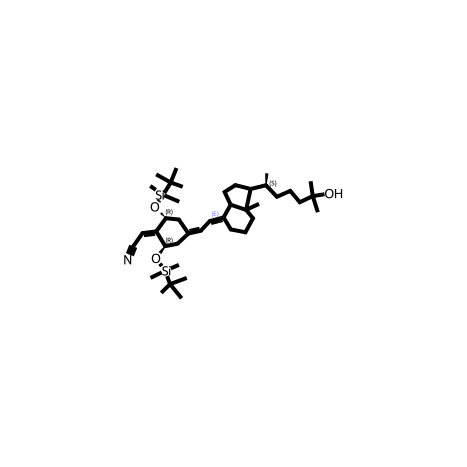 C[C@@H](CCCC(C)(C)O)C1CCC2/C(=C/C=C3C[C@@H](O[Si](C)(C)C(C)(C)C)C(=CC#N)[C@H](O[Si](C)(C)C(C)(C)C)C3)CCCC21C